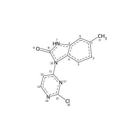 Cc1ccc2c(c1)[nH]c(=O)n2-c1ccnc(Cl)n1